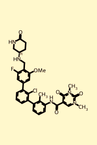 COc1cc(-c2cccc(-c3cccc(NC(=O)c4cn(C)c(=O)n(C)c4=O)c3C)c2Cl)cc(F)c1CN[C@@H]1CCC(=O)NC1